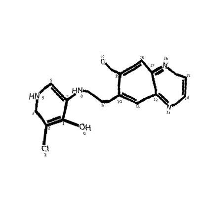 OC1=C(Cl)CNC=C1NCc1cc2nccnc2cc1Cl